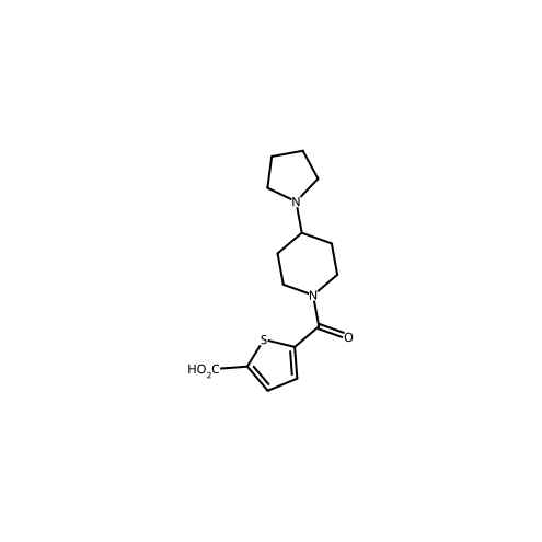 O=C(O)c1ccc(C(=O)N2CCC(N3CCCC3)CC2)s1